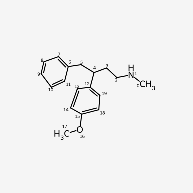 CNCCC(Cc1ccccc1)c1ccc(OC)cc1